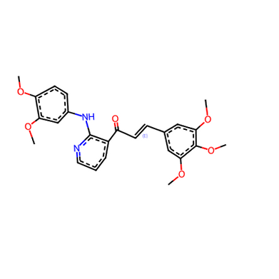 COc1ccc(Nc2ncccc2C(=O)/C=C/c2cc(OC)c(OC)c(OC)c2)cc1OC